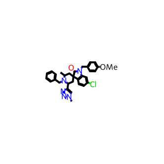 COc1ccc(CN2C(=O)C3(CC(C)N(Cc4ccccc4)C(c4cn(C)nn4)C3)c3ccc(Cl)cc32)cc1